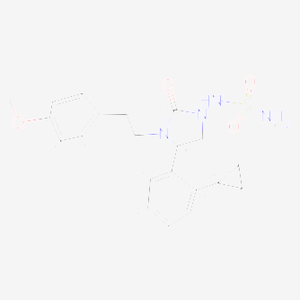 COc1ccc(CCN2C(=O)N(NS(N)(=O)=O)CC2c2ccccc2C2CC2)cc1